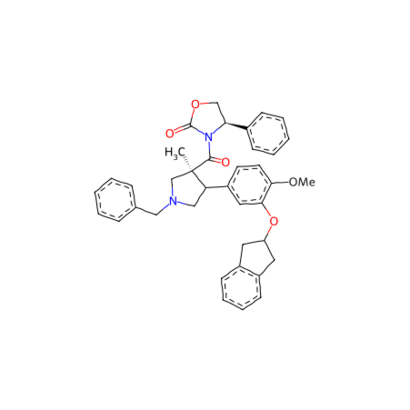 COc1ccc(C2CN(Cc3ccccc3)C[C@@]2(C)C(=O)N2C(=O)OC[C@H]2c2ccccc2)cc1OC1Cc2ccccc2C1